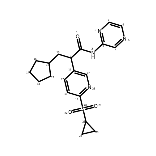 O=C(Nc1cnccn1)C(CC1CCCC1)c1ccc(S(=O)(=O)C2CC2)nc1